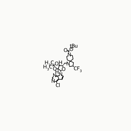 CC(C)(C)OC(=O)N1CCC2(CC1)CC(C(F)(F)F)CN2C[C@H]1O[C@@H](n2ccc3c(Cl)ncnc32)[C@@H]2OC(C)(C)O[C@@H]21